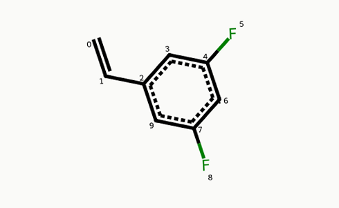 C=Cc1cc(F)[c]c(F)c1